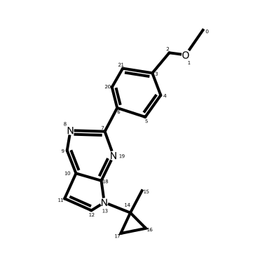 COCc1ccc(-c2ncc3ccn(C4(C)CC4)c3n2)cc1